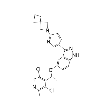 Cc1ncc(Cl)c([C@@H](C)Oc2ccc3[nH]nc(-c4ccc(N5CC6(CCC6)C5)nc4)c3c2)c1Cl